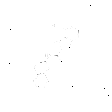 Cc1cccc2c1NC(C(=O)Nc1ccc3ccccc3c1)C2